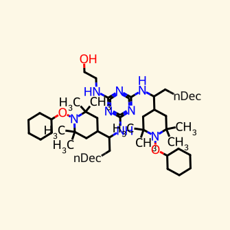 CCCCCCCCCCCC(Nc1nc(NCCO)nc(NC(CCCCCCCCCCC)C2CC(C)(C)N(OC3CCCCC3)C(C)(C)C2)n1)C1CC(C)(C)N(OC2CCCCC2)C(C)(C)C1